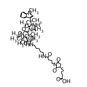 CN[C@H](C(=O)N[C@H](C(=O)N(C)C(/C=C(\C)C(=O)NCCCCCNC(=O)CCCN1C(=O)CC(SCCC(=O)O)C1=O)C(C)C)C(C)(C)C)C(C)(C)c1cn(C)c2ccccc12